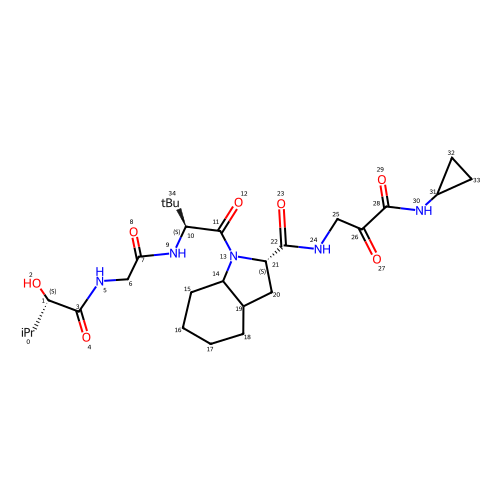 CC(C)[C@H](O)C(=O)NCC(=O)N[C@H](C(=O)N1C2CCCCC2C[C@H]1C(=O)NCC(=O)C(=O)NC1CC1)C(C)(C)C